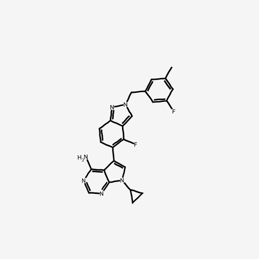 Cc1cc(F)cc(Cn2cc3c(F)c(-c4cn(C5CC5)c5ncnc(N)c45)ccc3n2)c1